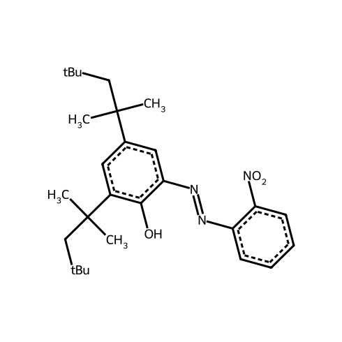 CC(C)(C)CC(C)(C)c1cc(N=Nc2ccccc2[N+](=O)[O-])c(O)c(C(C)(C)CC(C)(C)C)c1